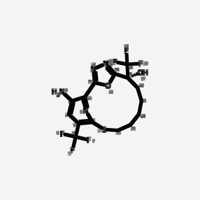 Nc1cc(C(F)(F)F)c2nc1-c1nnc(o1)[C@@](O)(C(F)(F)F)CCCCCS2